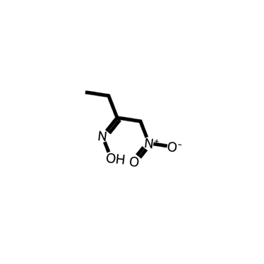 CCC(C[N+](=O)[O-])=NO